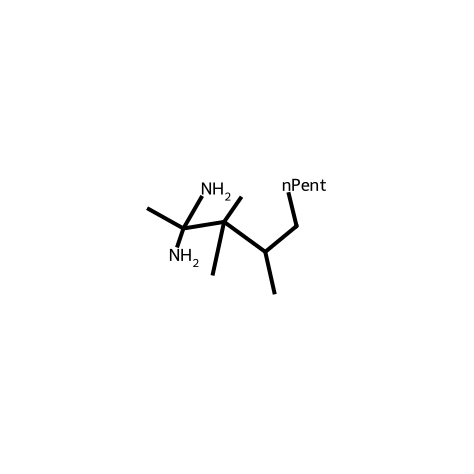 CCCCCCC(C)C(C)(C)C(C)(N)N